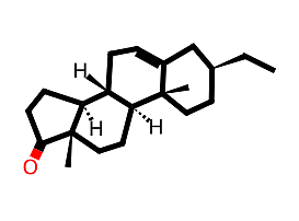 CC[C@H]1CC[C@@]2(C)C(=CC[C@@H]3[C@@H]2CC[C@]2(C)C(=O)CC[C@@H]32)C1